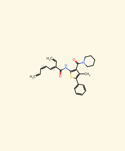 C=C/C=C\C=C(/C=C)C(=O)Nc1sc(-c2ccccc2)c(C)c1C(=O)N1CCCCC1